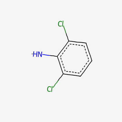 [NH]c1c(Cl)cccc1Cl